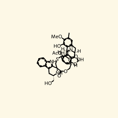 COc1c(C)cc2c(c1O)[C@H]1N[C@@H](C2)[C@H](O)N2[C@H]1[C@@H]1SC[C@]3(N[C@H](CO)Cc4c3[nH]c3ccccc43)C(=O)OC[C@H]2c2c3c(c(C)c(OC(C)=O)c21)OCO3